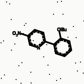 CC(C)COc1ccccc1-c1ccc([N+](=O)[O-])cn1